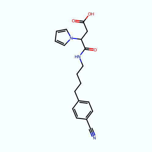 N#Cc1ccc(CCCCNC(=O)C(CC(=O)O)n2cccc2)cc1